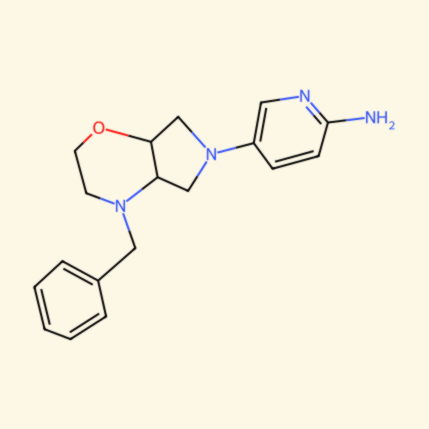 Nc1ccc(N2CC3OCCN(Cc4ccccc4)C3C2)cn1